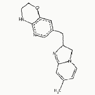 CC1=CC2=NC(Cc3cnc4c(c3)OCCN4)CN2C=C1